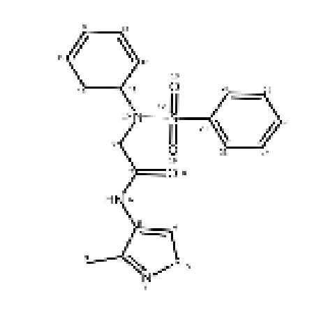 Cc1nscc1NC(=O)CN(C1C=CC=CC1)S(=O)(=O)c1ccccc1